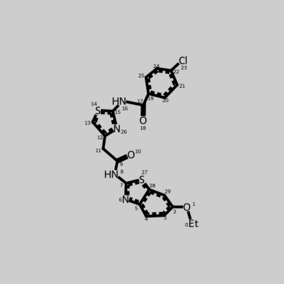 CCOc1ccc2nc(NC(=O)Cc3csc(NC(=O)c4ccc(Cl)cc4)n3)sc2c1